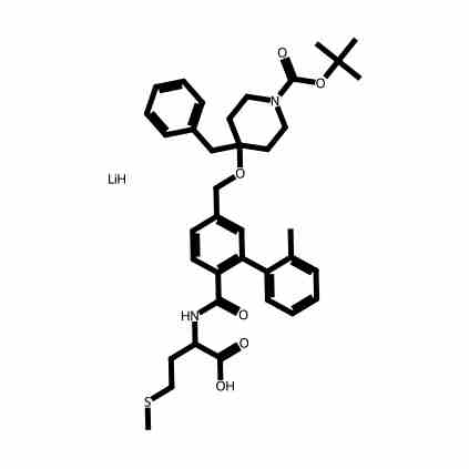 CSCCC(NC(=O)c1ccc(COC2(Cc3ccccc3)CCN(C(=O)OC(C)(C)C)CC2)cc1-c1ccccc1C)C(=O)O.[LiH]